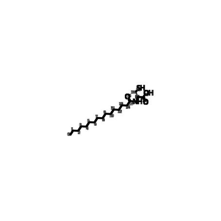 CCCCCCCCCCCCCCCC(=O)N[C@H](CS)C(=O)O